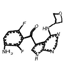 Nc1ccc(F)c(C(=O)c2c[nH]c3ncnc(NC4COC4)c23)c1F